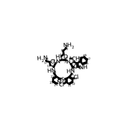 CCN1C(=O)[C@H](CCCCN)NC(=O)[C@H](CCCN)NCc2cccnc2Sc2c(Cl)ccc(Cl)c2CNC(=O)[C@@H]1Cc1c[nH]c2ccccc12